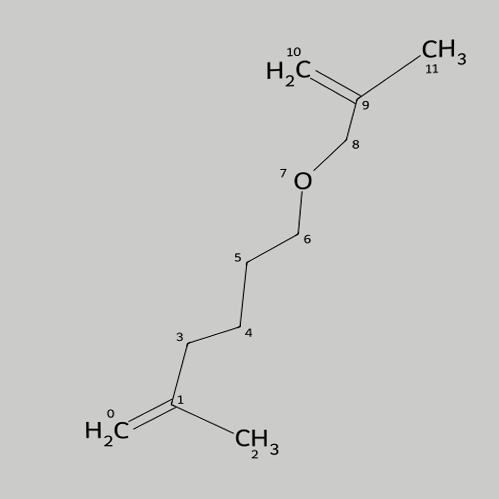 C=C(C)CCCCOCC(=C)C